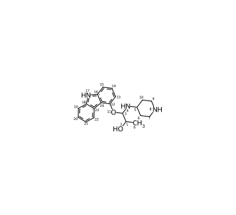 CC(O)C(NC1CCNCC1)Oc1cccc2[nH]c3ccccc3c12